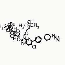 CC(C)(C)[Si](C)(C)O[C@@H]1CO[C@H]2[C@@H]1OC[C@H]2Oc1nc2cc(Cl)c(-c3ccc([C@H]4CC[C@H](N=[N+]=[N-])CC4)cc3)nc2n1COCC[Si](C)(C)C